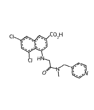 CN(Cc1ccncc1)C(=O)CNc1cc(C(=O)O)cc2cc(Cl)cc(Cl)c12